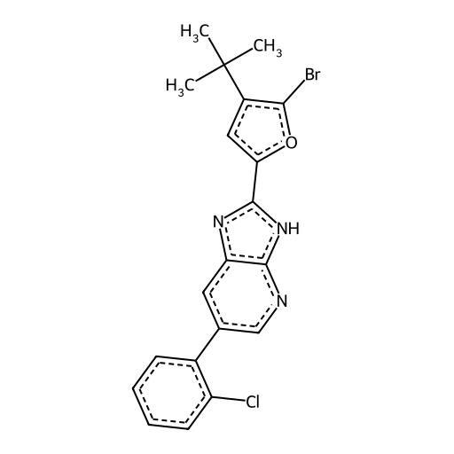 CC(C)(C)c1cc(-c2nc3cc(-c4ccccc4Cl)cnc3[nH]2)oc1Br